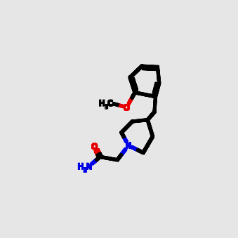 COc1ccccc1CC1CCN(CC(N)=O)CC1